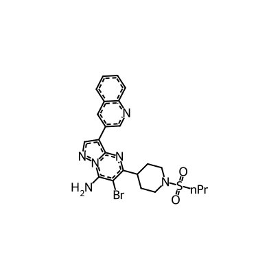 CCCS(=O)(=O)N1CCC(c2nc3c(-c4cnc5ccccc5c4)cnn3c(N)c2Br)CC1